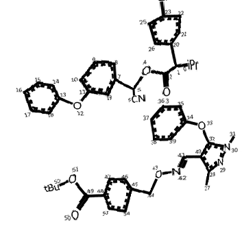 CC(C)C(C(=O)OC(C#N)c1cccc(Oc2ccccc2)c1)c1ccc(Cl)cc1.Cc1nn(C)c(Oc2ccccc2)c1/C=N/OCc1ccc(C(=O)OC(C)(C)C)cc1